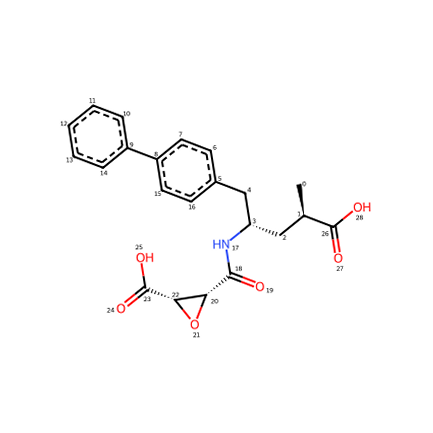 C[C@H](C[C@@H](Cc1ccc(-c2ccccc2)cc1)NC(=O)[C@@H]1O[C@@H]1C(=O)O)C(=O)O